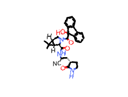 CC1(C)[C@@H]2[C@H]1CN(C(=O)C1(O)c3ccccc3-c3ccccc31)[C@H]2C(=O)N[C@H](C#N)C[C@@H]1CCNC1=O